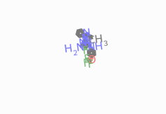 CCc1nc2ccccc2n1-c1nc(N)c(F)c(Nc2ccc(OC(F)(F)F)cc2)n1